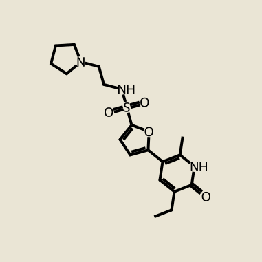 CCc1cc(-c2ccc(S(=O)(=O)NCCN3CCCC3)o2)c(C)[nH]c1=O